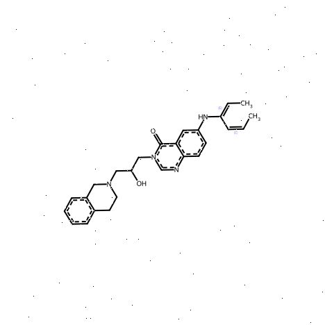 C/C=C\C(=C/C)Nc1ccc2ncn(CC(O)CN3CCc4ccccc4C3)c(=O)c2c1